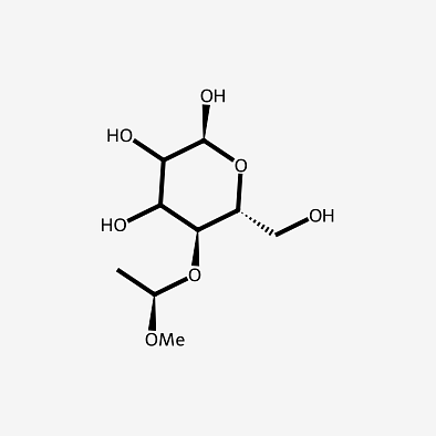 CO[C@@H](C)O[C@H]1C(O)C(O)[C@@H](O)O[C@@H]1CO